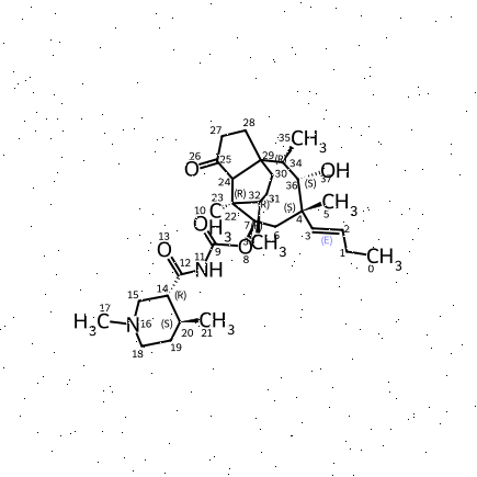 CC/C=C/[C@]1(C)C[C@@H](OC(=O)NC(=O)[C@H]2CN(C)CC[C@@H]2C)[C@@]2(C)C3C(=O)CCC3(CC[C@H]2C)[C@@H](C)[C@@H]1O